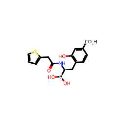 O=C(Cc1cccs1)N[C@@H](Cc1ccc(C(=O)O)cc1O)B(O)O